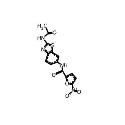 CC(=O)Nc1nc2ccc(NC(=O)c3ccc([N+](=O)[O-])o3)cc2s1